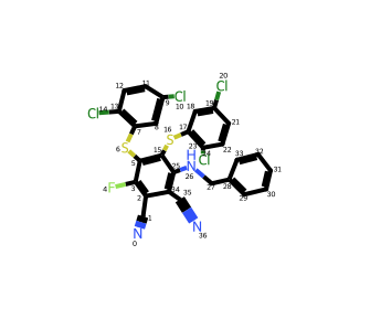 N#Cc1c(F)c(Sc2cc(Cl)ccc2Cl)c(Sc2cc(Cl)ccc2Cl)c(NCc2ccccc2)c1C#N